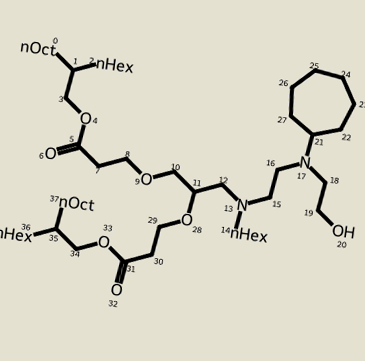 CCCCCCCCC(CCCCCC)COC(=O)CCOCC(CN(CCCCCC)CCN(CCO)C1CCCCCC1)OCCC(=O)OCC(CCCCCC)CCCCCCCC